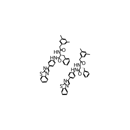 Cc1cc(C)cc(CC(=O)N[C@@H](Cc2ccccc2)C(=O)Nc2ccc(-c3cn4c(n3)sc3ccccc34)cc2)c1.Cc1cc(C)cc(CC(=O)N[C@H](Cc2ccccc2)C(=O)Nc2ccc(-c3cn4c(n3)sc3ccccc34)cc2)c1